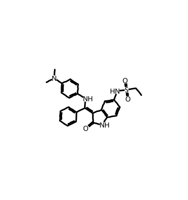 CCS(=O)(=O)Nc1ccc2c(c1)C(=C(Nc1ccc(N(C)C)cc1)c1ccccc1)C(=O)N2